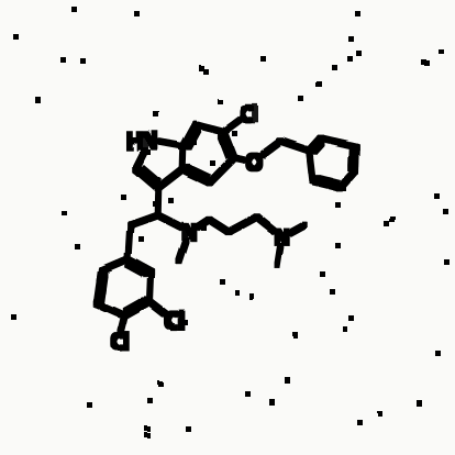 CN(C)CCCN(C)C(Cc1ccc(Cl)c(Cl)c1)c1c[nH]c2cc(Cl)c(OCc3ccccc3)cc12